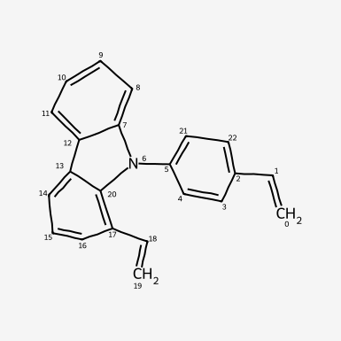 C=Cc1ccc(-n2c3ccccc3c3cccc(C=C)c32)cc1